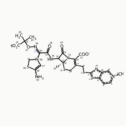 C[n+]1ccc2sc(SCC3=C(C(=O)[O-])N4C(=O)C(NC(=O)/C(=N/OC(C)(C)C(=O)O)N5C=C(N)SC5)[C@@H]4SC3)nc2c1